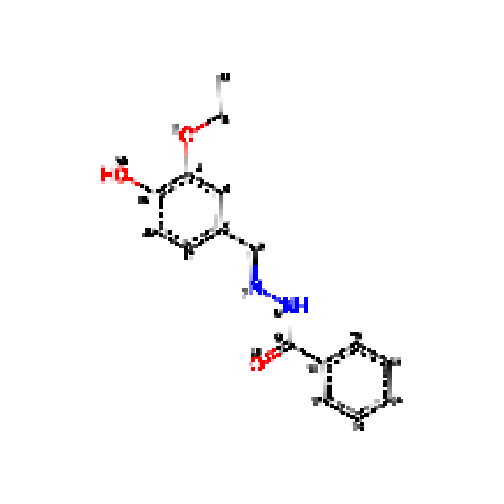 CCOc1cc(/C=N/NC(=O)c2ccccc2)ccc1O